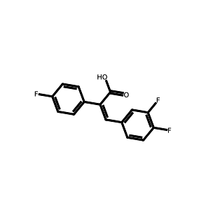 O=C(O)C(=Cc1ccc(F)c(F)c1)c1ccc(F)cc1